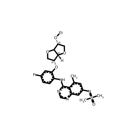 CCO[C@@H]1CO[C@H]2C1OC[C@H]2Oc1cc(F)ccc1Nc1ncnc2cc(N=S(C)(C)=O)cc(C)c12